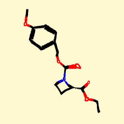 CCOC(=O)[C@@H]1CCN1C(=O)OCc1ccc(OC)cc1